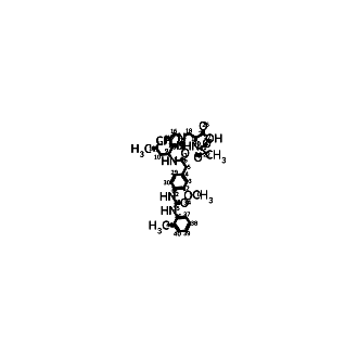 COc1cc(CC(=O)NC(CC(C)C)c2ncn(CC(NS(C)(=O)=O)C(=O)O)n2)ccc1NC(=O)Nc1ccccc1C